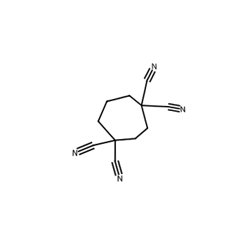 N#CC1(C#N)CCCC(C#N)(C#N)CC1